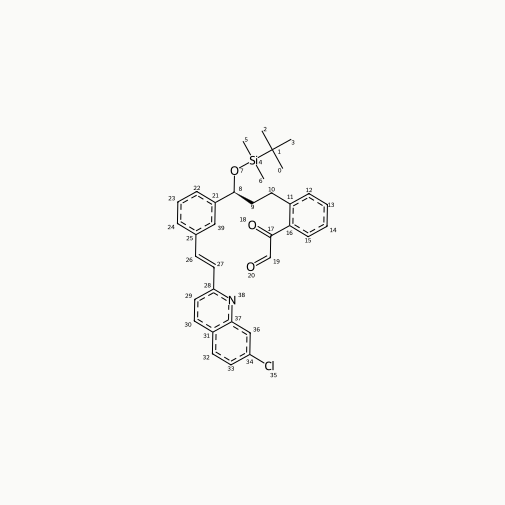 CC(C)(C)[Si](C)(C)O[C@@H](CCc1ccccc1C(=O)C=O)c1cccc(/C=C/c2ccc3ccc(Cl)cc3n2)c1